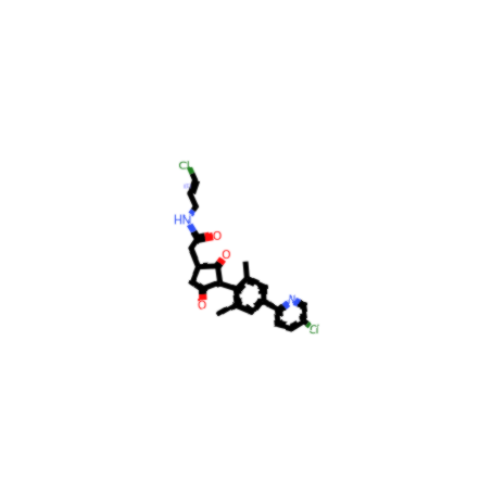 Cc1cc(-c2ccc(Cl)cn2)cc(C)c1C1C(=O)CC(CC(=O)NC/C=C/Cl)C1=O